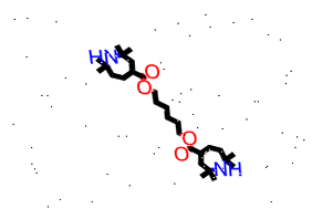 CC1(C)CCC(C(=O)OCCCCCCOC(=O)C2CCC(C)(C)NC(C)(C)C2)CC(C)(C)N1